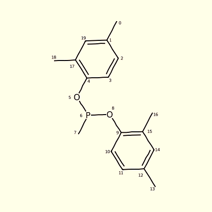 Cc1ccc(OP(C)Oc2ccc(C)cc2C)c(C)c1